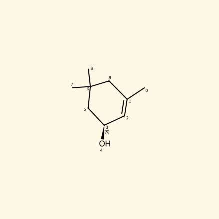 CC1=C[C@@H](O)CC(C)(C)C1